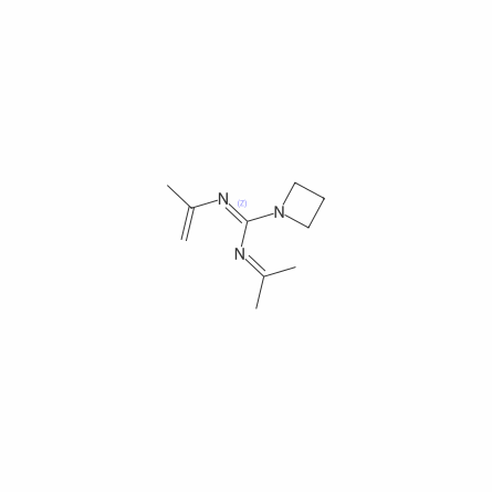 C=C(C)/N=C(\N=C(C)C)N1CCC1